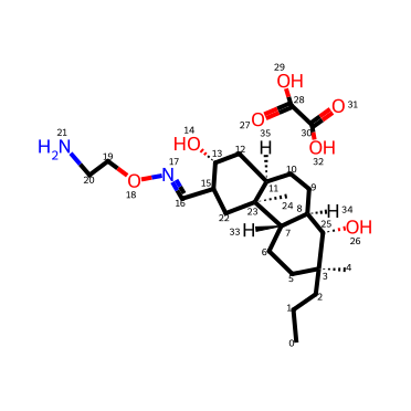 CCC[C@@]1(C)CC[C@H]2[C@@H](CC[C@@H]3C[C@@H](O)C(/C=N/OCCN)C[C@@]32C)[C@@H]1O.O=C(O)C(=O)O